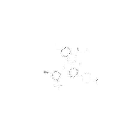 CCOC(=O)N1c2ccc(OC)nc2[C@@H](NC(c2cc(C#N)cc(C(F)(F)F)c2)c2ncc(N3CCC(C(=O)O)CC3)cn2)C[C@H]1CC